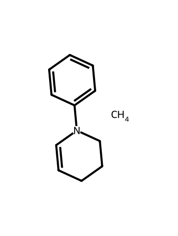 C.C1=CN(c2ccccc2)CCC1